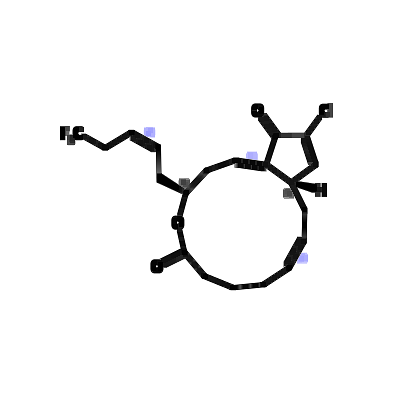 O=C1CCC/C=C\C[C@H]2C=C(Cl)C(=O)/C2=C/C[C@H](C/C=C\CC(F)(F)F)O1